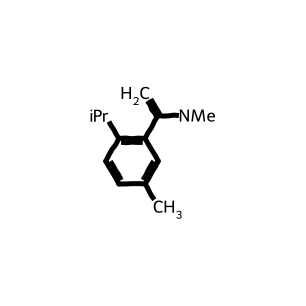 C=C(NC)c1cc(C)ccc1C(C)C